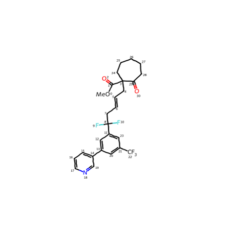 COC(=O)C1(CC=CCC(F)(F)c2cc(-c3cccnc3)cc(C(F)(F)F)c2)CCCCCC1=O